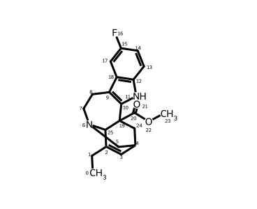 CCC1=CC2CN3CCc4c([nH]c5ccc(F)cc45)C(C(=O)OC)(C2)C13